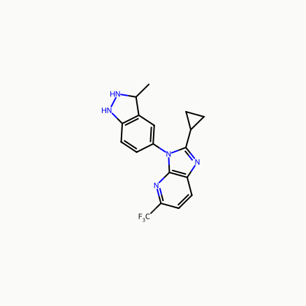 CC1NNc2ccc(-n3c(C4CC4)nc4ccc(C(F)(F)F)nc43)cc21